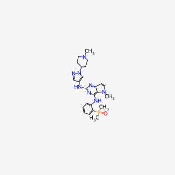 CN1CCC(n2cc(Nc3nc(Nc4ccccc4P(C)(C)=O)c4c(ccn4C)n3)cn2)CC1